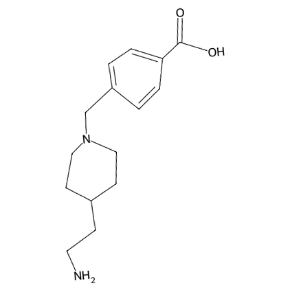 NCCC1CCN(Cc2ccc(C(=O)O)cc2)CC1